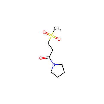 CS(=O)(=O)CCC(=O)N1CCCC1